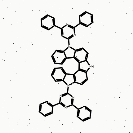 c1ccc(-c2nc(-c3ccccc3)nc(-n3c4ccccc4c4c5c(ccc43)[nH]c3ccc4c(c6ccccc6n4-c4nc(-c6ccccc6)nc(-c6ccccc6)n4)c35)n2)cc1